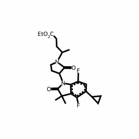 CCOC(=O)CCC(C)N1CCC(N2C(=O)C(C)(C)c3c(F)c(C4CC4)cc(F)c32)C1=O